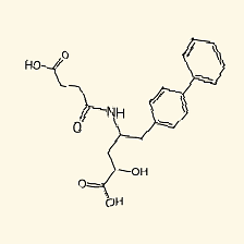 O=C(O)CCC(=O)NC(Cc1ccc(-c2ccccc2)cc1)CC(O)C(=O)O